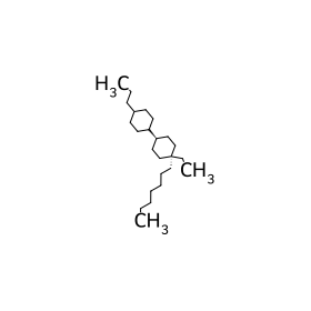 CCCCCCC[C@]1(CC)CC[C@@H](C2CCC(CCC)CC2)CC1